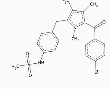 Cc1c(C(F)(F)F)c(Cc2ccc(NS(C)(=O)=O)cc2)n(C)c1C(=O)c1ccc(Cl)cc1